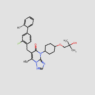 CCCCc1c(Cc2ccc(-c3ccccc3C#N)cc2F)c(=O)n(C2CCC(OCC(C)(C)O)CC2)c2ncnn12